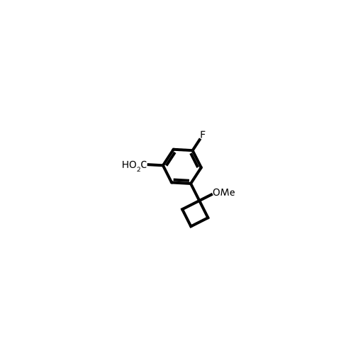 COC1(c2cc(F)cc(C(=O)O)c2)CCC1